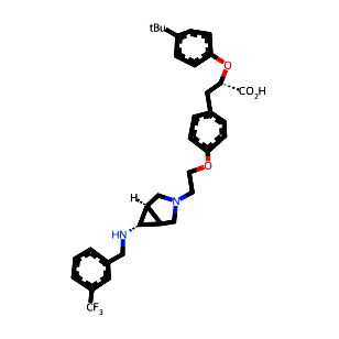 CC(C)(C)c1ccc(O[C@@H](Cc2ccc(OCCN3CC4[C@H](C3)[C@H]4NCc3cccc(C(F)(F)F)c3)cc2)C(=O)O)cc1